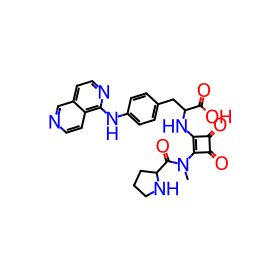 CN(C(=O)C1CCCN1)c1c(NC(Cc2ccc(Nc3nccc4cnccc34)cc2)C(=O)O)c(=O)c1=O